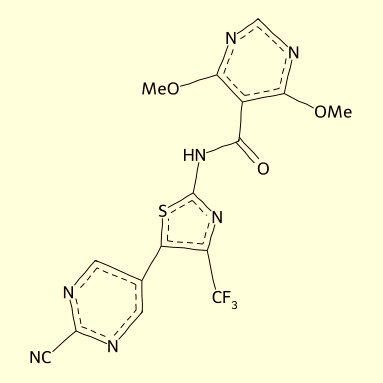 COc1ncnc(OC)c1C(=O)Nc1nc(C(F)(F)F)c(-c2cnc(C#N)nc2)s1